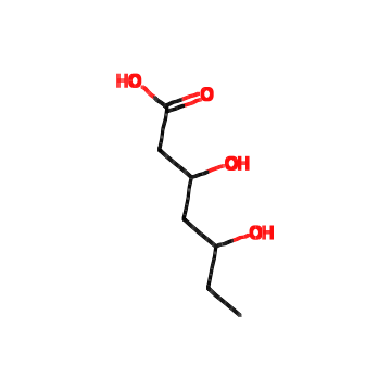 CCC(O)CC(O)CC(=O)O